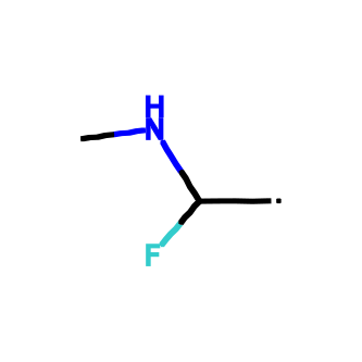 [CH2]C(F)NC